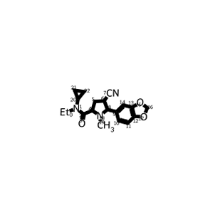 CCN(C(=O)C1CC(C#N)C(c2ccc3c(c2)OCO3)N1C)C1CC1